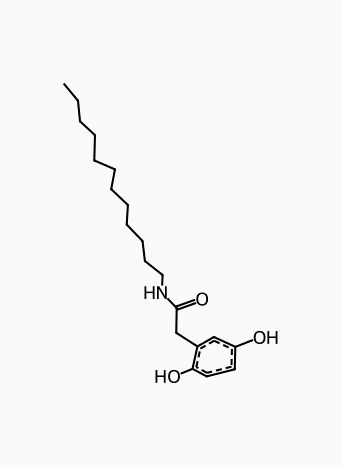 CCCCCCCCCCCCNC(=O)Cc1cc(O)ccc1O